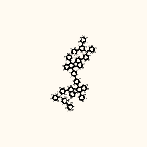 c1ccc(-c2c3c(c(-c4ccc(-c5ccc(-c6c7c(c(-c8ccccc8)c8ccccc68)-c6ccc(-c8cccc(N(c9ccccc9)c9cc(-c%10cccnc%10)cc(-c%10cccnc%10)c9)c8)c8cccc-7c68)cc5)cc4)c4ccccc24)-c2ccc(-c4cccc(N(c5ccccc5)c5ccc(-c6ccncc6)nc5)c4)c4cccc-3c24)cc1